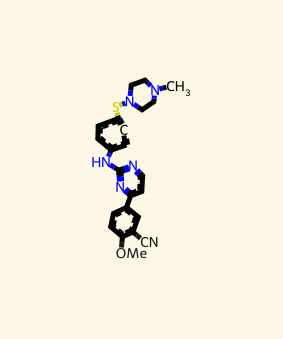 COc1ccc(-c2ccnc(Nc3ccc(SN4CCN(C)CC4)cc3)n2)cc1C#N